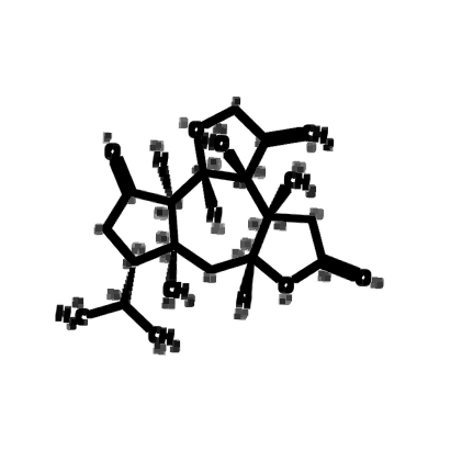 C=C1CO[C@H]2[C@@H]3C(=O)C[C@@H](C(C)C)[C@]3(C)C[C@H]3OC(=O)C[C@@]3(C)[C@@]12O